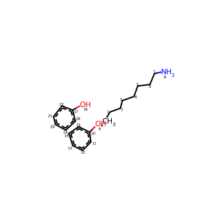 CCCCCCCCN.Oc1ccccc1.Oc1ccccc1